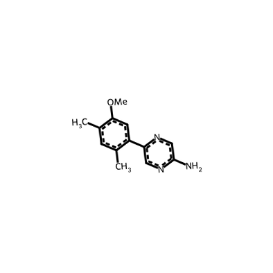 COc1cc(-c2cnc(N)cn2)c(C)cc1C